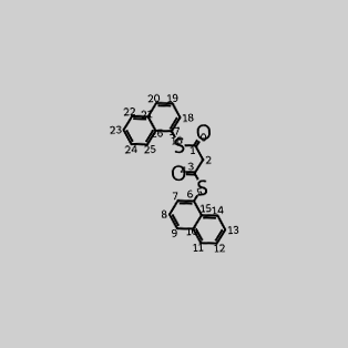 O=C(CC(=O)Sc1cccc2ccccc12)Sc1cccc2ccccc12